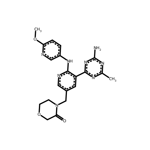 COc1ccc(Nc2ncc(CN3CCOCC3=O)cc2-c2nc(C)nc(N)n2)cn1